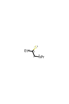 CCCCC([S])CC